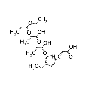 C=CC(=O)O.C=CC(=O)O.C=CC(=O)O.C=CC(=O)OCC.C=Cc1ccccc1